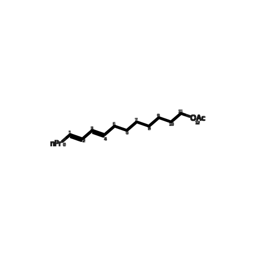 CCC/C=C/C=C/CCCCCCCOC(C)=O